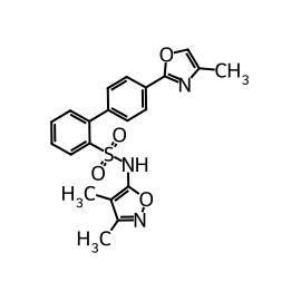 Cc1coc(-c2ccc(-c3ccccc3S(=O)(=O)Nc3onc(C)c3C)cc2)n1